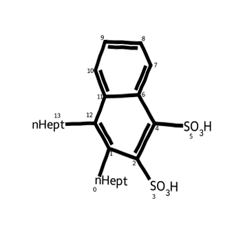 CCCCCCCc1c(S(=O)(=O)O)c(S(=O)(=O)O)c2ccccc2c1CCCCCCC